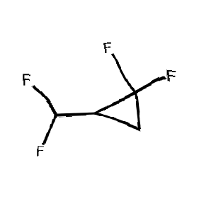 FC(F)C1CC1(F)F